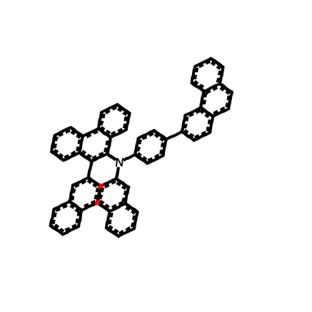 c1ccc2cc(-c3c(N(c4ccc(-c5ccc6ccc7ccccc7c6c5)cc4)c4ccc5ccccc5c4)c4ccccc4c4ccccc34)ccc2c1